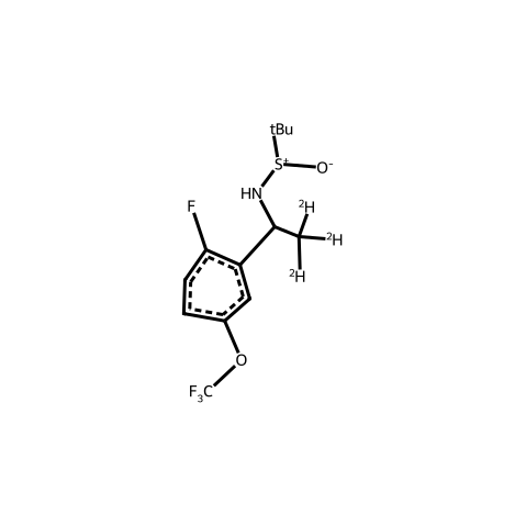 [2H]C([2H])([2H])C(N[S+]([O-])C(C)(C)C)c1cc(OC(F)(F)F)ccc1F